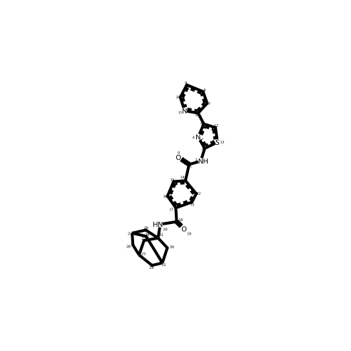 O=C(Nc1nc(-c2ccccn2)cs1)c1ccc(C(=O)NC23CC4CC(CC(C4)C2)C3)cc1